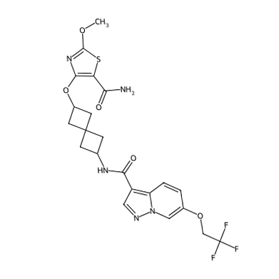 COc1nc(OC2CC3(CC(NC(=O)c4cnn5cc(OCC(F)(F)F)ccc45)C3)C2)c(C(N)=O)s1